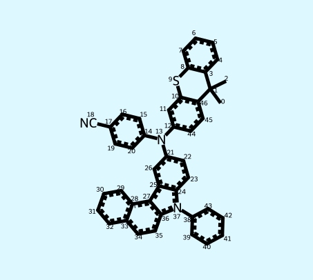 CC1(C)c2ccccc2Sc2cc(N(c3ccc(C#N)cc3)c3ccc4c(c3)c3c5ccccc5ccc3n4-c3ccccc3)ccc21